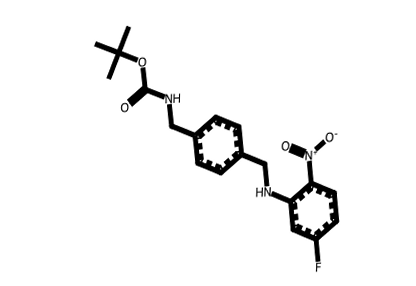 CC(C)(C)OC(=O)NCc1ccc(CNc2cc(F)ccc2[N+](=O)[O-])cc1